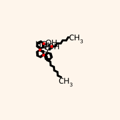 CCCCCCCCCCc1ccccc1S(CCCCCCCCC)(c1ccccc1)(c1ccccc1)=P(O)(O)O